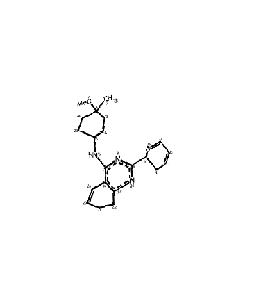 COC1(C)CCC(Nc2nc(C3CC=CC=N3)nc3c2C=CCC3)CC1